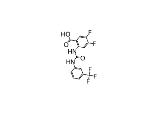 O=C(Nc1cccc(C(F)(F)F)c1)Nc1cc(F)c(F)cc1C(=O)O